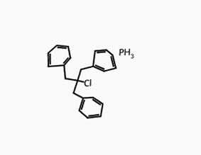 ClC(Cc1ccccc1)(Cc1ccccc1)Cc1ccccc1.P